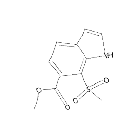 COC(=O)c1ccc2cc[nH]c2c1S(C)(=O)=O